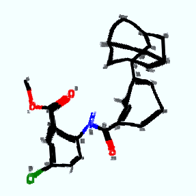 COC(=O)c1cc(Cl)ccc1NC(=O)c1cccc(C23CC4CC(CC(C4)C2)C3)c1